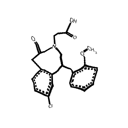 COc1ccccc1C1CN(CC(=O)O)C(=O)Cc2ccc(Cl)cc21